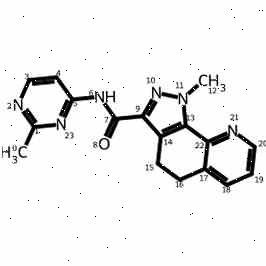 Cc1nccc(NC(=O)c2nn(C)c3c2CCc2cccnc2-3)n1